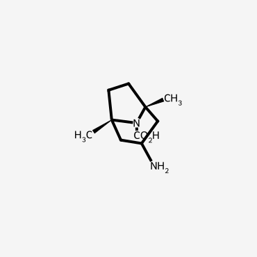 C[C@]12CC[C@](C)(CC(N)C1)N2C(=O)O